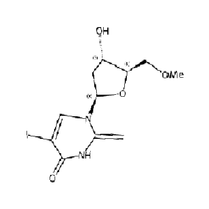 C=C1NC(=O)C(I)=CN1[C@H]1C[C@H](O)[C@@H](COC)O1